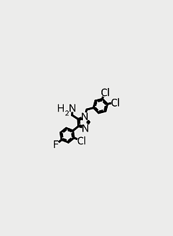 NCc1c(-c2ccc(F)cc2Cl)ncn1Cc1ccc(Cl)c(Cl)c1